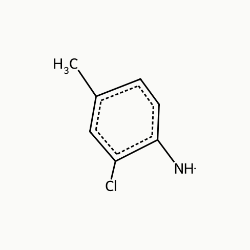 Cc1ccc([NH])c(Cl)c1